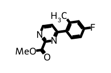 COC(=O)c1nccc(-c2ccc(F)cc2C)n1